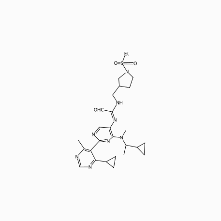 CCS(=O)(=O)N1CCC(CN/C(C=O)=N/c2cnc(-c3c(C)ncnc3C3CC3)nc2N(C)C(C)C2CC2)C1